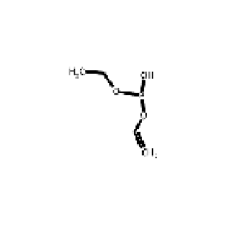 C=COP(O)OCC